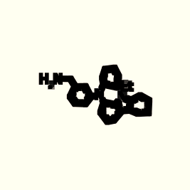 CCn1c2ccccc2c2cccc(N(c3ccccc3)c3cccc(CN)c3)c21